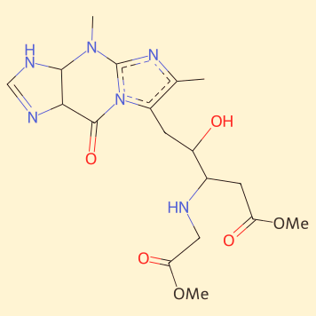 COC(=O)CNC(CC(=O)OC)C(O)Cc1c(C)nc2n1C(=O)C1N=CNC1N2C